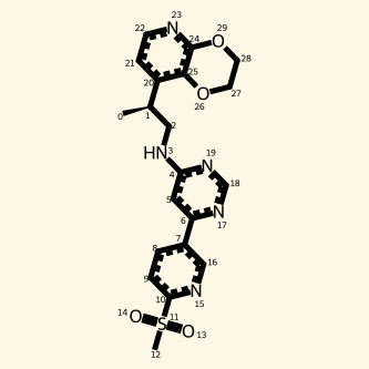 C[C@H](CNc1cc(-c2ccc(S(C)(=O)=O)nc2)ncn1)c1ccnc2c1OCCO2